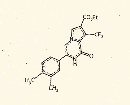 CCOC(=O)c1cn2cc(-c3ccc(C)c(C)c3)[nH]c(=O)c2c1C(F)(F)F